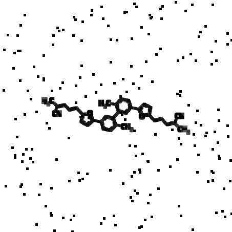 C/C(C#N)=C/C=C/c1ccc(-c2ccc(C)c(-c3cc(-c4ccc(/C=C/C=C(/C)C#N)o4)ccc3C)c2)o1